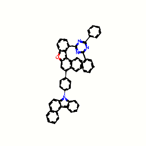 c1ccc(-c2nc(-c3ccccc3)nc(-c3cccc4oc5cc(-c6ccc(-n7c8ccccc8c8c9ccccc9ccc87)cc6)c6ccccc6c5c34)n2)cc1